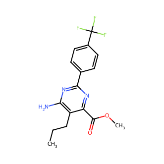 CCCc1c(N)nc(-c2ccc(C(F)(F)F)cc2)nc1C(=O)OC